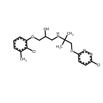 Cc1cccc(OCC(O)CNC(C)(C)COc2ccc(Cl)nn2)c1Cl